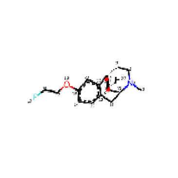 CN1CC[C@@]23CCCC[C@@H]2C1Cc1ccc(OCCF)cc13